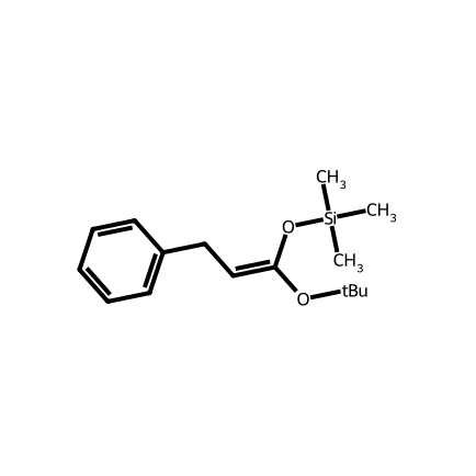 CC(C)(C)OC(=CCc1ccccc1)O[Si](C)(C)C